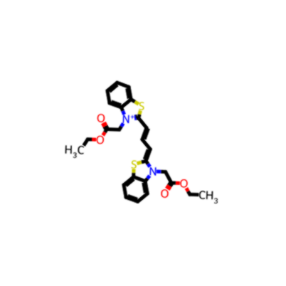 CCOC(=O)CN1/C(=C/C=C/c2sc3ccccc3[n+]2CC(=O)OCC)Sc2ccccc21